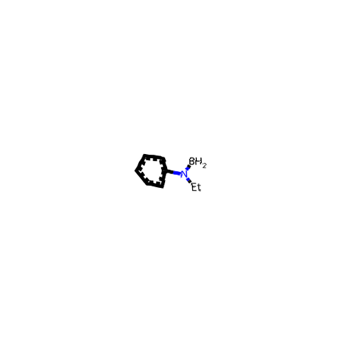 BN(CC)c1ccccc1